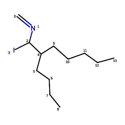 C=NC(I)C(CCCC)CCCCC